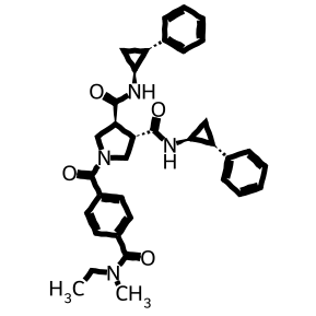 CCN(C)C(=O)c1ccc(C(=O)N2C[C@@H](C(=O)N[C@H]3C[C@@H]3c3ccccc3)[C@H](C(=O)N[C@H]3C[C@@H]3c3ccccc3)C2)cc1